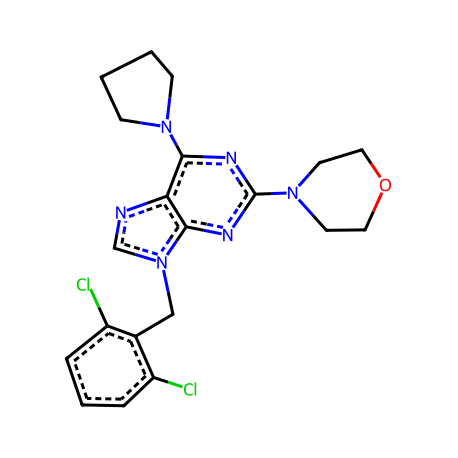 Clc1cccc(Cl)c1Cn1cnc2c(N3CCCC3)nc(N3CCOCC3)nc21